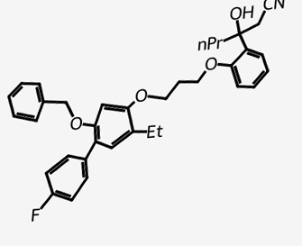 CCCC(O)(CC#N)c1ccccc1OCCCOc1cc(OCc2ccccc2)c(-c2ccc(F)cc2)cc1CC